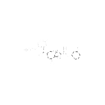 COc1cc(C(=O)N2CC(C)OCC2CCO)cn2nc(NCc3cccc(Cl)c3)nc12